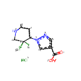 Cl.O=C(O)c1cnn(C2CCNCC2(F)F)c1